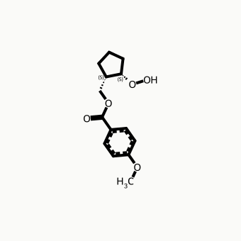 COc1ccc(C(=O)OC[C@@H]2CCC[C@@H]2OO)cc1